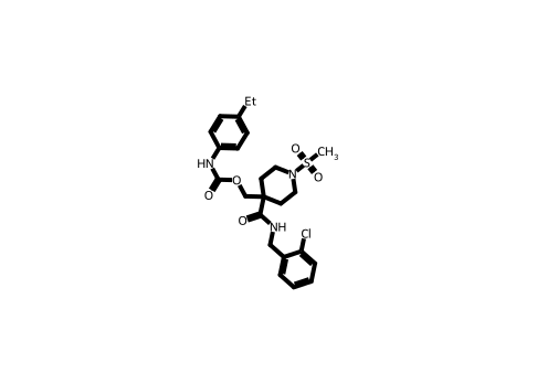 CCc1ccc(NC(=O)OCC2(C(=O)NCc3ccccc3Cl)CCN(S(C)(=O)=O)CC2)cc1